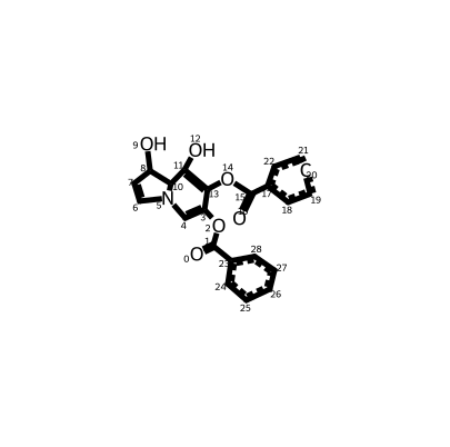 O=C(OC1=CN2C=CC(O)C2C(O)=C1OC(=O)c1ccccc1)c1ccccc1